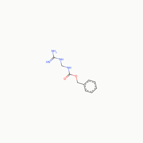 N=C(N)NCNC(=O)OCc1ccccc1